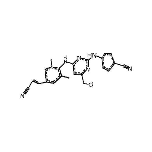 Cc1cc(/C=C/C#N)cc(C)c1Nc1cc(CCl)nc(Nc2ccc(C#N)cc2)n1